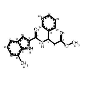 COC(=O)CC(NC(=O)c1cc2cccc(C)c2[nH]1)c1cccnc1